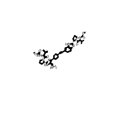 COC(=O)N[C@H](C(=O)N1CCC[C@H]1c1nc(-c2ccc(C#Cc3ccc4nc([C@@H]5CCCN5C(=O)[C@@H](NC(=O)OC)C(C)C)[nH]c4c3)cc2)c(CN)[nH]1)C(C)C